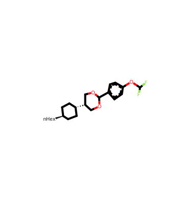 CCCCCC[C@H]1CC[C@H](C2COC(c3ccc(OC(F)F)cc3)OC2)CC1